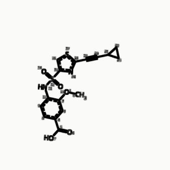 COc1cc(C(=O)O)ccc1NS(=O)(=O)c1csc(C#CC2CC2)n1